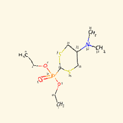 CCOP(=O)(OCC)C1SCC(N(C)C)CS1